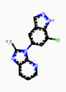 FC(F)(F)c1nc2cccnc2n1-c1cc(Cl)c2[nH]ncc2c1